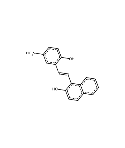 O=S(=O)(O)c1ccc(O)c(N=Nc2c(O)ccc3ccccc23)c1